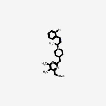 CCc1ccccc1/C=C\C(C)N1CCC(Cc2nc(C)c(C)c(COC)n2)CC1